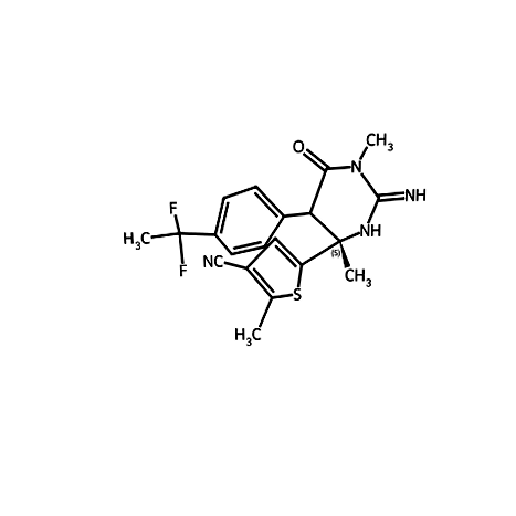 Cc1sc([C@@]2(C)NC(=N)N(C)C(=O)C2c2ccc(C(C)(F)F)cc2)cc1C#N